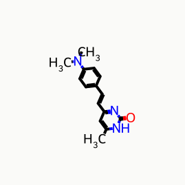 Cc1cc(C=Cc2ccc(N(C)C)cc2)nc(=O)[nH]1